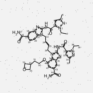 CCn1nc(C)cc1C(=O)Nc1nc2cc(C(N)=O)ccc2n1C/C=C/Cn1c(NC(=O)c2cc(C)nn2CC)nc2cc(C(N)=O)cc(OCCC3COC3)c21